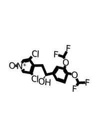 [O-][n+]1cc(Cl)c(C[C@@H](O)c2ccc(OC(F)F)c(OC(F)F)c2)c(Cl)c1